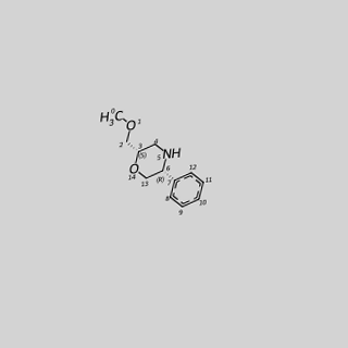 COC[C@@H]1CN[C@H](c2ccccc2)CO1